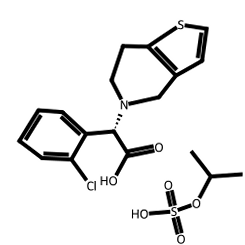 CC(C)OS(=O)(=O)O.O=C(O)[C@H](c1ccccc1Cl)N1CCc2sccc2C1